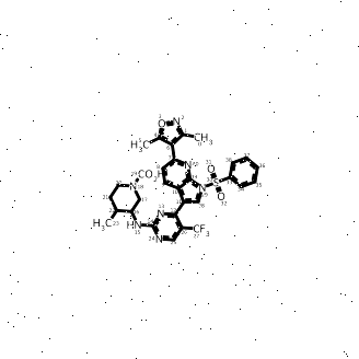 Cc1noc(C)c1-c1ccc2c(-c3nc(NC4CN(C(=O)O)CCC4C)ncc3C(F)(F)F)cn(S(=O)(=O)c3ccccc3)c2n1